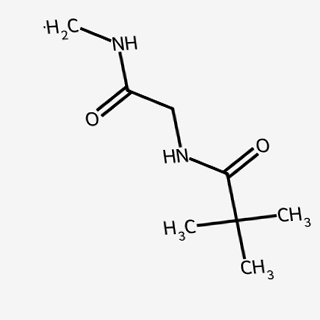 [CH2]NC(=O)CNC(=O)C(C)(C)C